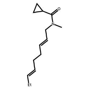 CCC=CCCC=CCN(C)C(=O)C1CC1